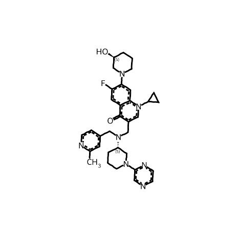 Cc1cc(CN(Cc2cn(C3CC3)c3cc(N4CCC[C@H](O)C4)c(F)cc3c2=O)[C@H]2CCCN(c3cnccn3)C2)ccn1